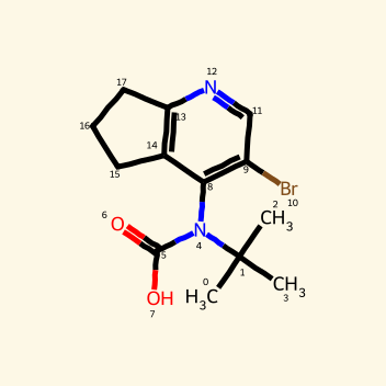 CC(C)(C)N(C(=O)O)c1c(Br)cnc2c1CCC2